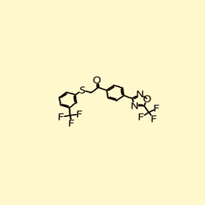 O=C(CSc1cccc(C(F)(F)F)c1)c1ccc(-c2noc(C(F)(F)F)n2)cc1